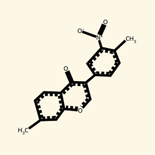 Cc1ccc2c(=O)c(-c3ccc(C)c([N+](=O)[O-])c3)coc2c1